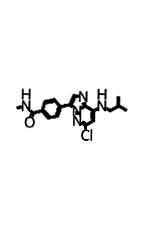 CNC(=O)c1ccc(-c2cnc3c(NCC(C)C)cc(Cl)nn23)cc1